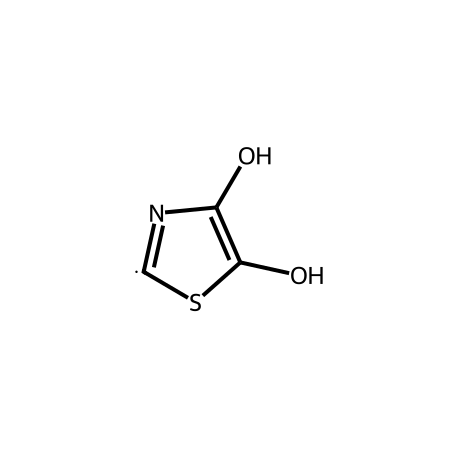 Oc1n[c]sc1O